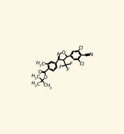 Cc1cc(C2=NOC(c3cc(Cl)c(C#N)c(Cl)c3)C2C(F)(F)F)ccc1C(=O)OC(C)(C)C